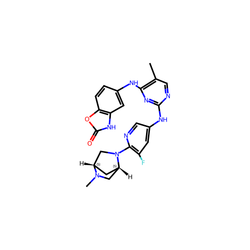 Cc1cnc(Nc2cnc(N3C[C@@H]4C[C@H]3CN4C)c(F)c2)nc1Nc1ccc2oc(=O)[nH]c2c1